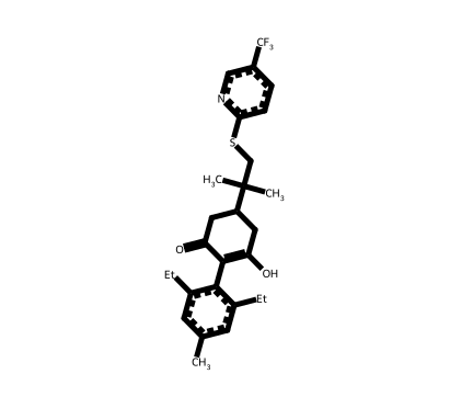 CCc1cc(C)cc(CC)c1C1=C(O)CC(C(C)(C)CSc2ccc(C(F)(F)F)cn2)CC1=O